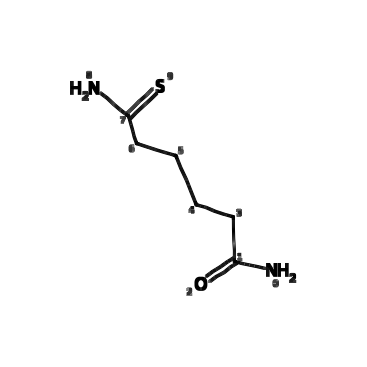 NC(=O)CCCCC(N)=S